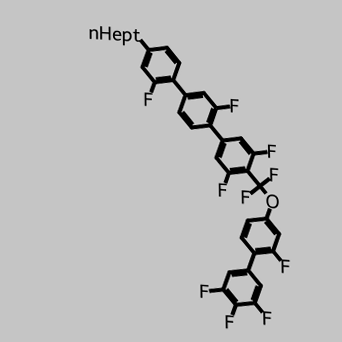 CCCCCCCc1ccc(-c2ccc(-c3cc(F)c(C(F)(F)Oc4ccc(-c5cc(F)c(F)c(F)c5)c(F)c4)c(F)c3)c(F)c2)c(F)c1